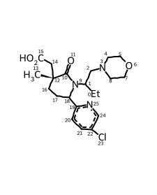 CCC(CN1CCOCC1)N1C(=O)[C@@](C)(CC(=O)O)CCC1c1ccc(Cl)cn1